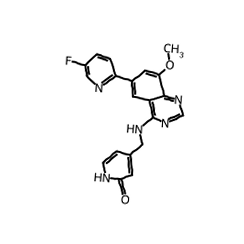 COc1cc(-c2ccc(F)cn2)cc2c(NCc3cc[nH]c(=O)c3)ncnc12